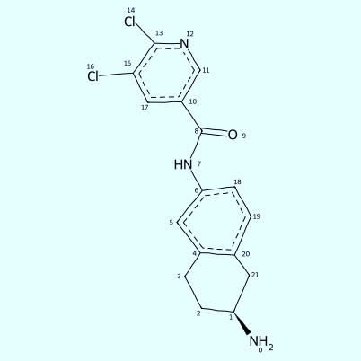 N[C@H]1CCc2cc(NC(=O)c3cnc(Cl)c(Cl)c3)ccc2C1